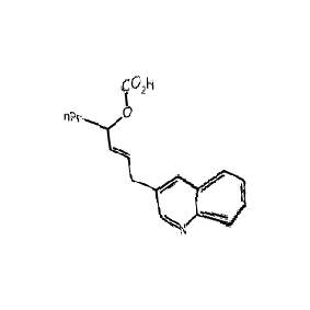 CCCC(C=CCc1cnc2ccccc2c1)OC(=O)O